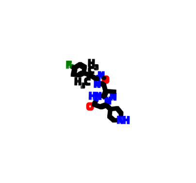 CC(C)(c1ccc(F)cc1)c1noc(-c2cnn3c(C4CCNCC4)cc(=O)[nH]c23)n1